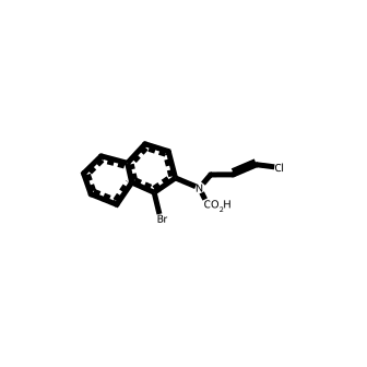 O=C(O)N(CC=CCl)c1ccc2ccccc2c1Br